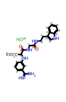 CCOC(=O)C(Nc1cccc(C(=N)N)c1)C(=O)NCC(=O)NCCc1c[nH]c2ccccc12.Cl